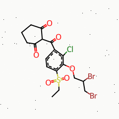 CCS(=O)(=O)c1ccc(C(=O)C2C(=O)CCCC2=O)c(Cl)c1OCC(Br)CBr